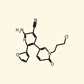 N#Cc1cc(-c2ccc(=O)n(CCCCl)c2)c(-c2ccco2)nc1N